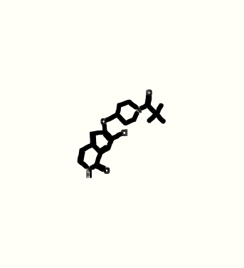 CC(C)(C)C(=O)N1CCC(Oc2cc3cc[nH]c(=O)c3cc2Cl)CC1